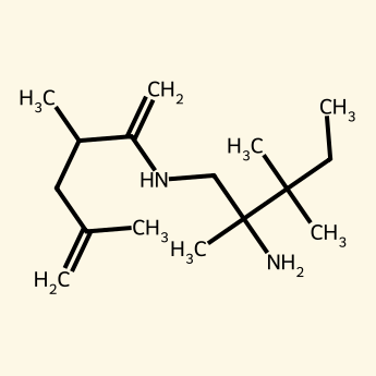 C=C(C)CC(C)C(=C)NCC(C)(N)C(C)(C)CC